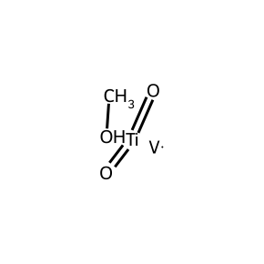 CO.[O]=[Ti]=[O].[V]